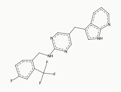 Fc1ccc(CNc2ncc(Cc3c[nH]c4ncccc34)cn2)c(C(F)(F)F)c1